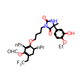 CCCC1=C(OCCCCN2C(=O)NC(C)(c3ccc(OCC)c(O)c3)C2=O)C(CCC)CC(CC(F)(F)F)=C1OC=O